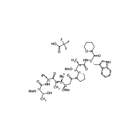 CC[C@H](C)[C@@H]([C@@H](CC(=O)N1CCC[C@H]1[C@H](OC)[C@@H](C)C(=O)N[C@@H](Cc1c[nH]c2ccccc12)C(=O)N1CCCCO1)OC)N(C)C(=O)[C@@H](NC(=O)[C@@H](NC)C(C)O)C(C)C.O=C(O)C(F)(F)F